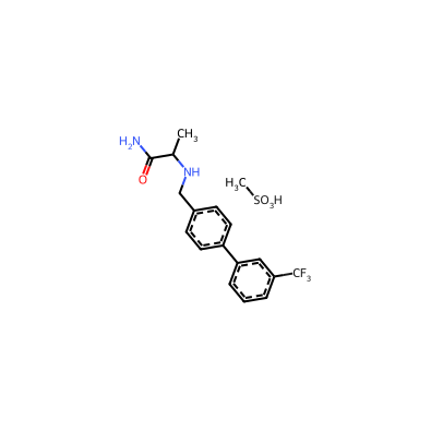 CC(NCc1ccc(-c2cccc(C(F)(F)F)c2)cc1)C(N)=O.CS(=O)(=O)O